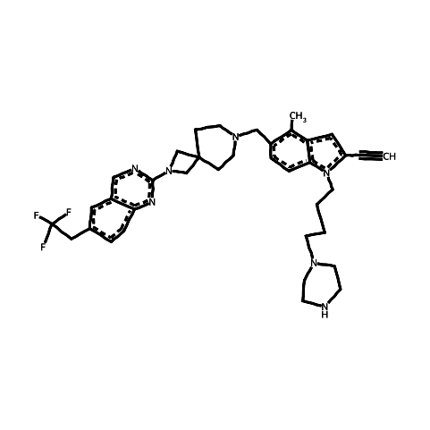 C#Cc1cc2c(C)c(CN3CCC4(CC3)CN(c3ncc5cc(CC(F)(F)F)ccc5n3)C4)ccc2n1CCCCN1CCNCC1